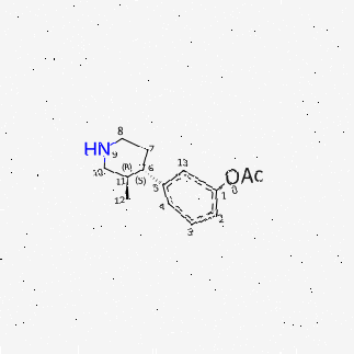 CC(=O)Oc1cccc([C@H]2CCNC[C@@H]2C)c1